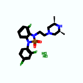 C[C@@H]1CN(CCN2c3c(F)cccc3N(c3ccc(F)cc3F)S2(=O)=O)C[C@H](C)N1.Cl.Cl